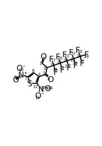 O=CC(C(=O)c1cc([N+](=O)[O-])sc1[N+](=O)[O-])C(F)(F)C(F)(F)C(F)(F)C(F)(F)C(F)(F)F